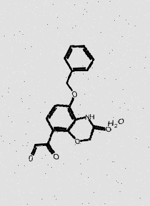 O.O=CC(=O)c1ccc(OCc2ccccc2)c2c1OCC(=O)N2